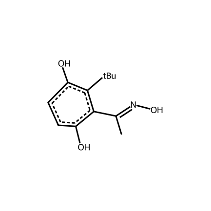 CC(=NO)c1c(O)ccc(O)c1C(C)(C)C